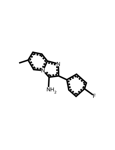 Cc1ccc2nc(-c3ccc(F)cc3)c(N)n2c1